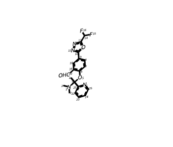 CN(C)C(C)(Oc1ccc(-c2nnc(C(F)F)o2)cc1C=O)c1ccccn1